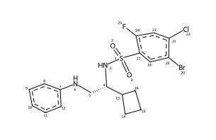 O=S(=O)(N[C@@H](CNc1ccccc1)C1CCC1)c1cc(Br)c(Cl)cc1F